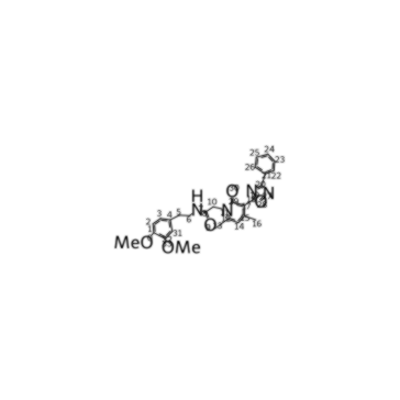 COc1ccc(CCNC(=O)Cn2c(C)cc(C)c(-c3nc(-c4ccccc4)no3)c2=O)cc1OC